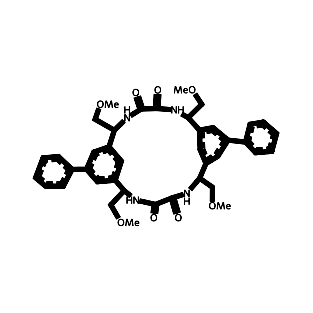 COCC1NC(=O)C(=O)NC(COC)c2cc(-c3ccccc3)cc(c2)C(COC)NC(=O)C(=O)NC(COC)c2cc(-c3ccccc3)cc1c2